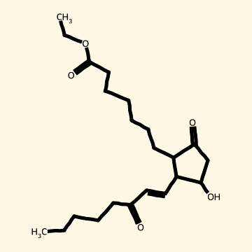 CCCCCC(=O)C=CC1C(O)CC(=O)C1CCCCCCC(=O)OCC